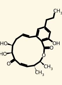 CCCc1cc(O)c2c(c1)/C=C/C[C@H](O)[C@H](O)C(=O)/C=C\[C@@H](C)[C@H](C)OC2=O